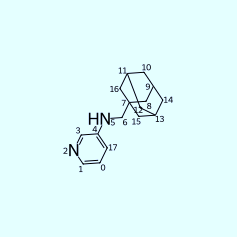 c1cncc(NCC23CC4CC(CC(C4)C2)C3)c1